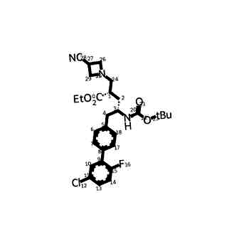 CCOC(=O)[C@@H](C[C@@H](Cc1ccc(-c2cc(Cl)ccc2F)cc1)NC(=O)OC(C)(C)C)CN1CC(C#N)C1